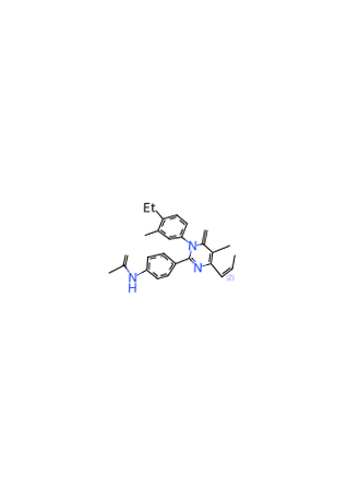 C=C(C)Nc1ccc(C2=NC(/C=C\C)=C(C)C(=C)N2c2ccc(CC)c(C)c2)cc1